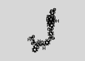 CC(=O)NCC(=O)N[C@@H](Cc1ccccc1)C(=O)NCC(=O)Nc1ccc(COC(=O)N2CCN(C(=O)O[C@H]3CC[C@@]4(C)[C@H](CC[C@@H]5[C@@H]4[C@H](O)C(=O)[C@]4(C)[C@@H](c6ccc(=O)oc6)CC[C@]54O)C3)CC2)cc1